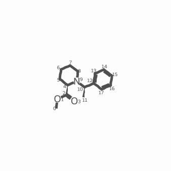 COC(=O)[C@H]1CCCCN1[C@H](C)c1ccccc1